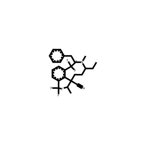 CCC(CCC(C#N)(c1c(C(F)(F)F)cccc1C(F)(F)F)C(C)C)N(C)CCc1ccccc1